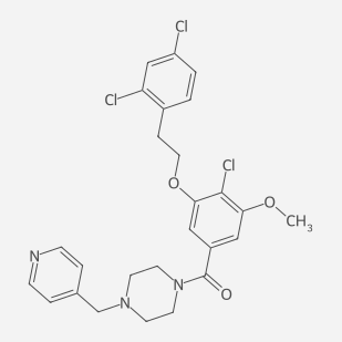 COc1cc(C(=O)N2CCN(Cc3ccncc3)CC2)cc(OCCc2ccc(Cl)cc2Cl)c1Cl